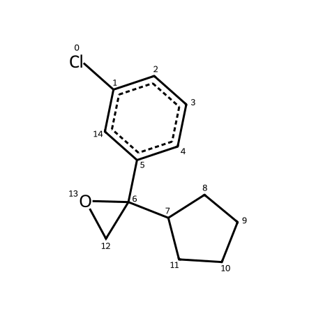 Clc1cccc(C2(C3CCCC3)CO2)c1